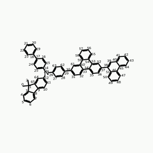 CC1(C)c2ccccc2-c2ccc(N(c3ccc(-c4ccccc4)cc3)c3ccc(-c4ccc5c6ccc(-c7cc8ccccc8c8ccccc78)cc6c6ccccc6c5c4)cc3)cc21